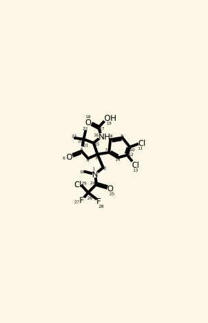 CN(CC(CC=O)(c1ccc(Cl)c(Cl)c1)C(NC(=O)O)C(C)(C)C)C(=O)C(F)(F)Cl